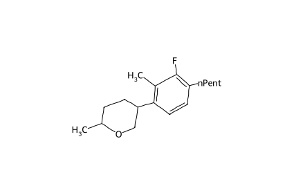 CCCCCc1ccc(C2CCC(C)OC2)c(C)c1F